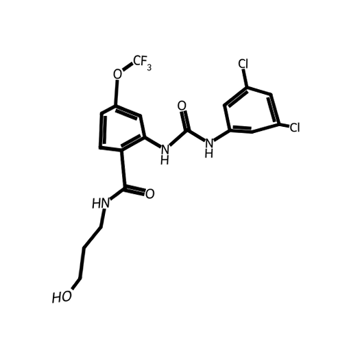 O=C(Nc1cc(Cl)cc(Cl)c1)Nc1cc(OC(F)(F)F)ccc1C(=O)NCCCO